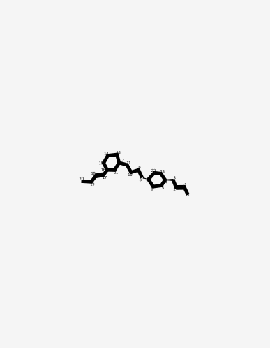 CC=CC[C@H]1CC[C@H](CCCCC2CCCC(C=CCC)C2)CC1